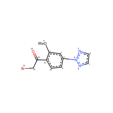 COc1cc(-n2nccn2)ccc1C(=O)CBr